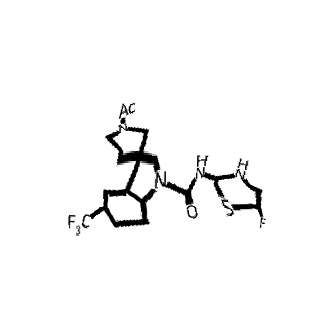 CC(=O)N1CCC2(C1)CN(C(=O)NC1NCC(F)S1)C1CCC(C(F)(F)F)C=C12